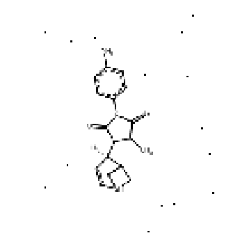 CC1C(=O)N(c2ccc(N)cc2)C(=O)C1[C@@H]1C=C[SH]2CC1C2